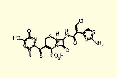 Cn1nc(O)c(=O)nc1C(=S)C1=C(C(=O)O)N2C(=O)C(NC(=O)C(=CCl)c3csc(N)n3)[C@@H]2SC1